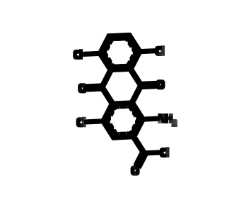 Nc1c(C(=O)Cl)cc(Cl)c2c1C(=O)c1c(Cl)ccc(Cl)c1C2=O